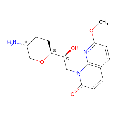 COc1ccc2ccc(=O)n(C[C@H](O)[C@@H]3CC[C@@H](N)CO3)c2n1